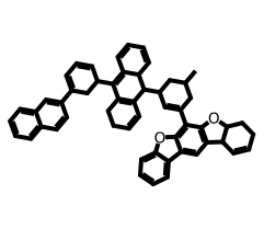 CC1CC(c2c3c(cc4c2oc2ccccc24)C2C=CCCC2O3)=CC(C2C3=C(CCC=C3)C(C3C=CC=C(c4ccc5ccccc5c4)C3)=C3C=CC=CC32)C1